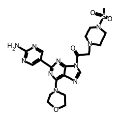 CS(=O)(=O)N1CCN(CC(=O)n2cnc3c(N4CCOCC4)nc(-c4cnc(N)nc4)nc32)CC1